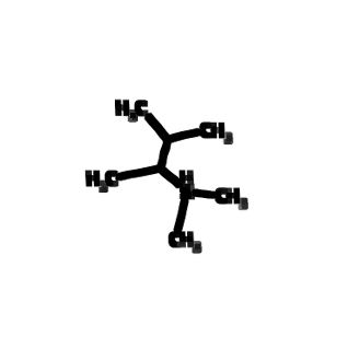 CC(C)C(C)[SiH](C)C